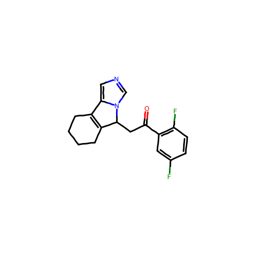 O=C(CC1C2=C(CCCC2)c2cncn21)c1cc(F)ccc1F